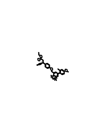 CC#C[C@@H](CC(=O)OCC)c1ccc(OCc2cc(-c3ccc(OC)cc3C)cn3ncnc23)cc1